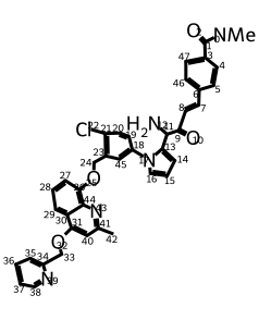 CNC(=O)c1ccc(/C=C/C(=O)C(N)c2cccn2-c2ccc(Cl)c(COc3cccc4c(OCc5ccccn5)cc(C)nc34)c2)cc1